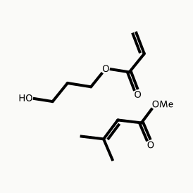 C=CC(=O)OCCCO.COC(=O)C=C(C)C